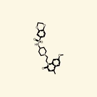 COc1ccc2c(C)cc(=O)n(CCN3CCC(NS(=O)(=O)c4ccc5c(c4)OCCO5)CC3)c2c1